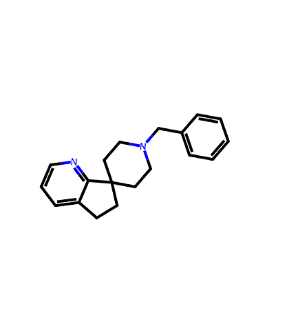 c1ccc(CN2CCC3(CCc4cccnc43)CC2)cc1